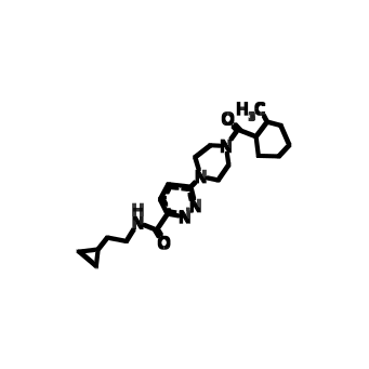 CC1CCCCC1C(=O)N1CCN(c2ccc(C(=O)NCCC3CC3)nn2)CC1